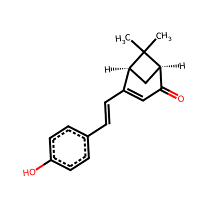 CC1(C)[C@@H]2C[C@H]1C(/C=C/c1ccc(O)cc1)=CC2=O